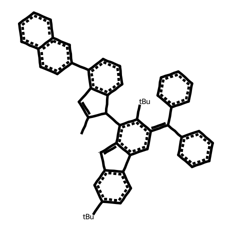 CC1=Cc2c(-c3ccc4ccccc4c3)cccc2C1c1c(C(C)(C)C)c(=C(c2ccccc2)c2ccccc2)cc2c1=[C]c1cc(C(C)(C)C)ccc1-2